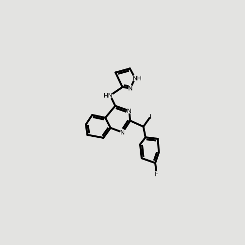 Fc1ccc(C(I)c2nc(Nc3cc[nH]n3)c3ccccc3n2)cc1